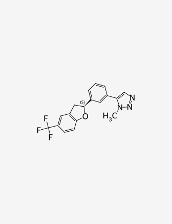 Cn1nncc1-c1cccc([C@@H]2Cc3cc(C(F)(F)F)ccc3O2)c1